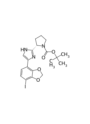 CC(C)(C)OC(=O)N1CCC[C@H]1c1nc(-c2ccc(I)c3c2OCO3)c[nH]1